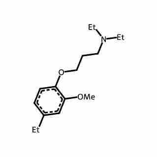 CCc1ccc(OCCCN(CC)CC)c(OC)c1